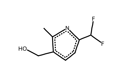 Cc1nc(C(F)F)ccc1CO